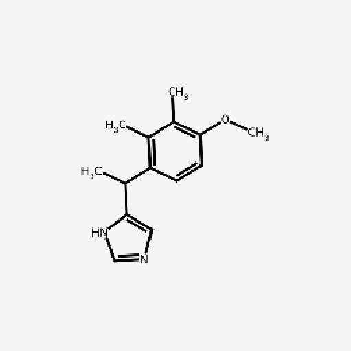 COc1ccc(C(C)c2cnc[nH]2)c(C)c1C